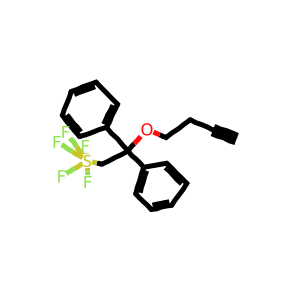 C#CCCOC(CS(F)(F)(F)(F)F)(c1ccccc1)c1ccccc1